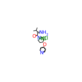 CC(C)[C@H](N)C(=O)N1CCC(Oc2ccncc2)CC1.Cl.Cl